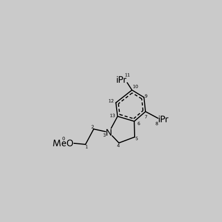 COCCN1CCc2c(C(C)C)cc(C(C)C)cc21